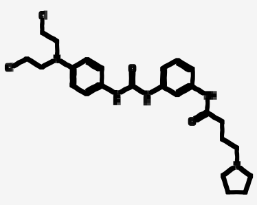 O=C(CCCN1CCCC1)Nc1cccc(NC(=O)Nc2ccc(N(CCCl)CCCl)cc2)c1